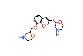 C1=C(CC2CNCCO2)COc2c1cccc2OCC1CNCCO1